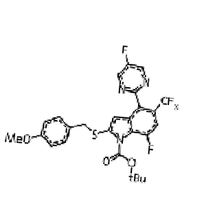 COc1ccc(CSc2cc3c(-c4ncc(F)cn4)c(C(F)(F)F)cc(F)c3n2C(=O)OC(C)(C)C)cc1